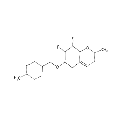 CC1CCC(COC2CC3=CCC(C)OC3C(F)C2F)CC1